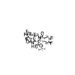 CC(C)OC(=O)C1=CN(C(=O)c2ccc(F)c(F)c2)CC(C)(C)c2c1[nH]c1onc(C(F)(F)F)c21